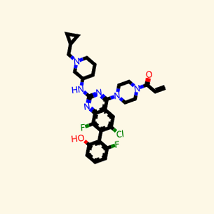 C=CC(=O)N1CCN(c2nc(NC3CCCN(CC4CC4)C3)nc3c(F)c(-c4c(O)cccc4F)c(Cl)cc23)CC1